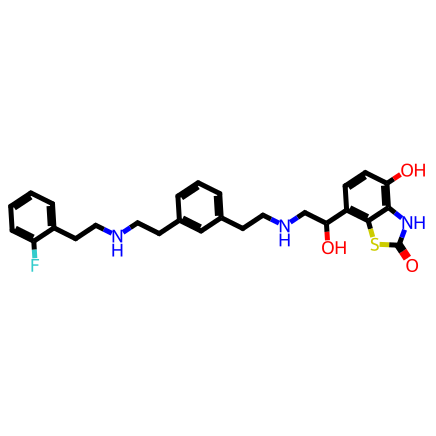 O=c1[nH]c2c(O)ccc(C(O)CNCCc3cccc(CCNCCc4ccccc4F)c3)c2s1